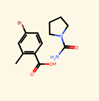 Cc1cc(Br)ccc1C(=O)O.NC(=O)N1CCCC1